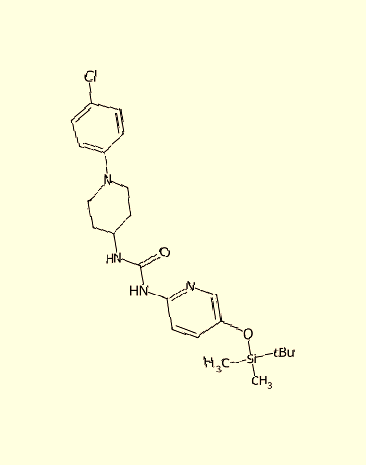 CC(C)(C)[Si](C)(C)Oc1ccc(NC(=O)NC2CCN(c3ccc(Cl)cc3)CC2)nc1